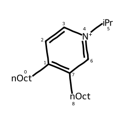 CCCCCCCCc1cc[n+](C(C)C)cc1CCCCCCCC